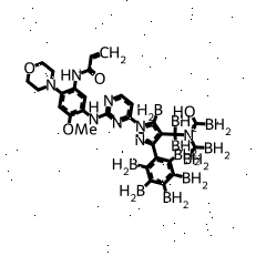 Bc1c(B)c(B)c(-c2nn(-c3ccnc(Nc4cc(NC(=O)C=C)c(N5CCOCC5)cc4OC)n3)c(B)c2C(B)(B)N(C(B)B)C(B)O)c(B)c1B